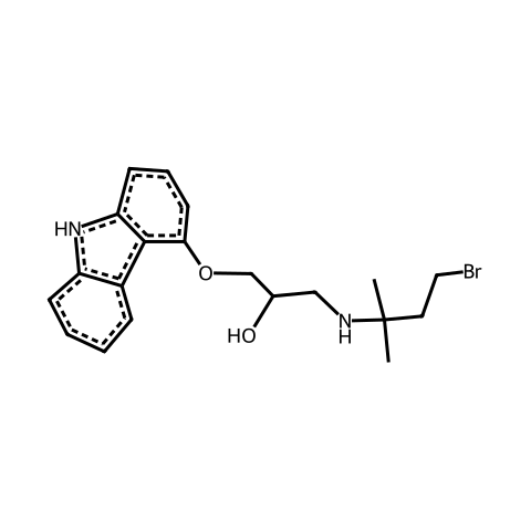 CC(C)(CCBr)NCC(O)COc1cccc2[nH]c3ccccc3c12